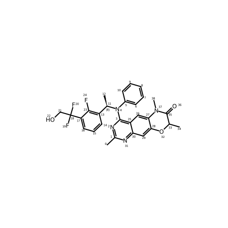 Cc1nc(N(c2ccccc2)[C@H](C)c2cccc(C(F)(F)CO)c2F)c2cc3c(cc2n1)OC(C)C(=O)N3C